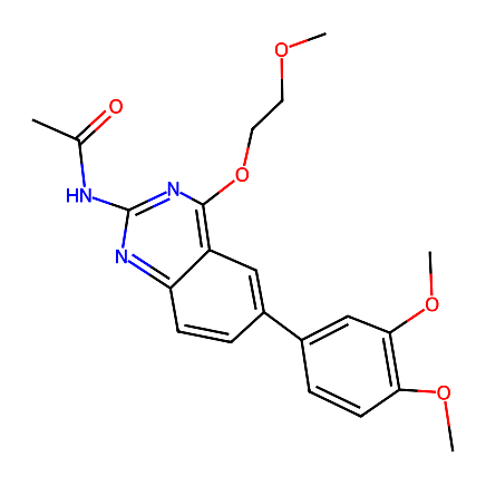 COCCOc1nc(NC(C)=O)nc2ccc(-c3ccc(OC)c(OC)c3)cc12